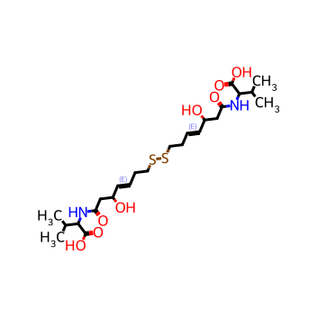 CC(C)C(NC(=O)CC(O)/C=C/CCSSCC/C=C/C(O)CC(=O)NC(C(=O)O)C(C)C)C(=O)O